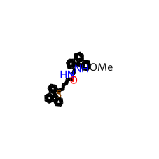 COc1ccc(C(NCCNC(=O)CCCCCSC(c2ccccc2)(c2ccccc2)c2ccccc2)(c2ccccc2)c2ccccc2)cc1